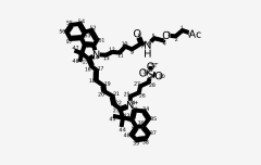 CC(=O)CCOCCNC(=O)CCCCCN1\C(=C/C=C/C=C/C=C/C2=[N+](CCCCS(=O)(=O)[O-])c3ccc4ccccc4c3C2(C)C)C(C)(C)c2c1ccc1ccccc21